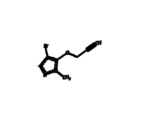 C#CCOc1c(Br)[c]nn1C